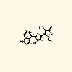 CCn1nc(C)c(O)c1-c1cn(C)c(-c2nccc3c2cnn3C)n1